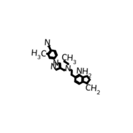 C=C1CCc2c1ccc(CCN(CCC)Cc1cnn(-c3ccc(C#N)c(C)c3)c1)c2N